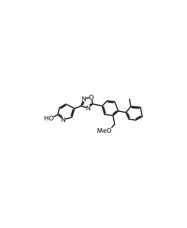 COCc1cc(-c2nc(-c3ccc(O)nc3)no2)ccc1-c1ccccc1C